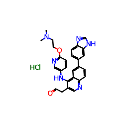 CN(C)CCOc1ccc(Nc2c(CC=O)cnc3ccc(-c4ccc5nc[nH]c5c4)cc23)cn1.Cl